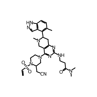 C=CS(=O)(=O)N1CCN(c2nc(NCCC(=O)N(C)C)nc3c2CN(C)C(c2c(C)ccc4[nH]ncc24)C3)CC1CC#N